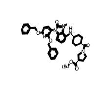 Cn1c(=O)n(-c2ccc(OCc3ccccc3)nc2OCc2ccccc2)c2cccc(N[C@H]3CC[C@H](C(=O)N4CC[C@@H](C(=O)OC(C)(C)C)C4)CC3)c21